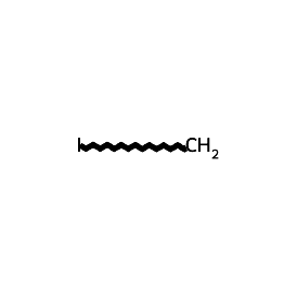 C=CCCCCCCCCCCCCCCI